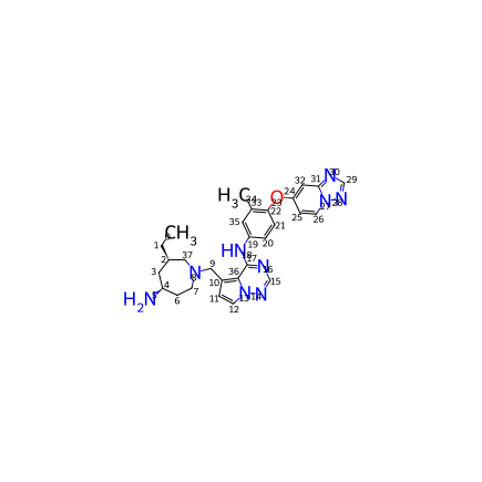 CC[C@@H]1C[C@H](N)CCN(Cc2ccn3ncnc(Nc4ccc(Oc5ccn6ncnc6c5)c(C)c4)c23)C1